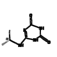 C[C@H](I)Nc1nc(=O)[nH]c(=O)[nH]1